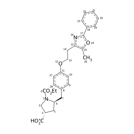 CCOC(=O)N1C[C@@H](C(=O)O)C[C@@H]1Cc1ccc(OCCc2nc(-c3ccccc3)oc2C)cc1